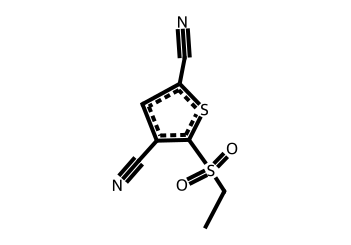 CCS(=O)(=O)c1sc(C#N)cc1C#N